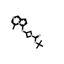 Cc1cncc2ccc(OC3CN(C(=O)OC(C)(C)C)C3)n12